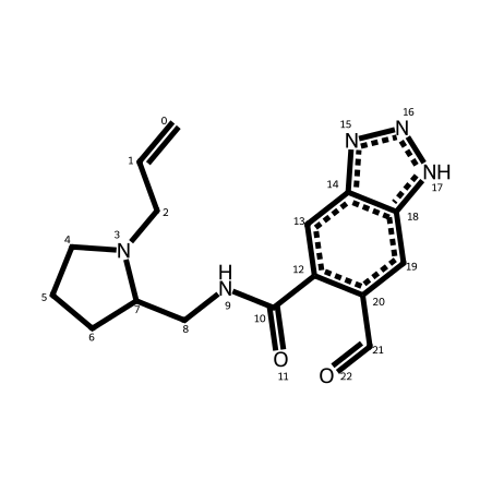 C=CCN1CCCC1CNC(=O)c1cc2nn[nH]c2cc1C=O